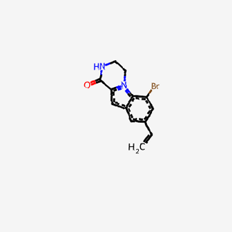 C=Cc1cc(Br)c2c(c1)cc1n2CCNC1=O